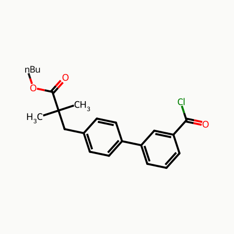 CCCCOC(=O)C(C)(C)Cc1ccc(-c2cccc(C(=O)Cl)c2)cc1